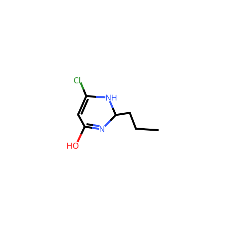 CCCC1N=C(O)C=C(Cl)N1